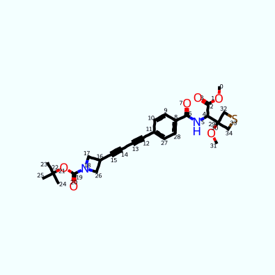 COC(=O)C(NC(=O)c1ccc(C#CC#CC2CN(C(=O)OC(C)(C)C)C2)cc1)C1(OC)CSC1